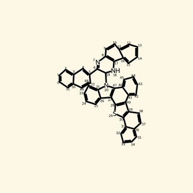 c1ccc2cc(C3=Nc4ccc5ccccc5c4NC3n3c4ccccc4c4c5sc6c7ccccc7ccc6c5c5ccccc5c43)ccc2c1